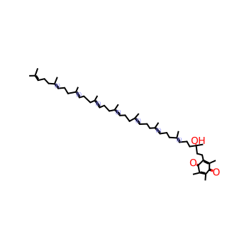 CC(C)=CCC/C(C)=C/CC/C(C)=C/CC/C(C)=C/CC/C(C)=C/CC/C(C)=C/CC/C(C)=C/CC/C(C)=C/CCC(C)(O)CCC1=C(C)C(=O)C(C)=C(C)C1=O